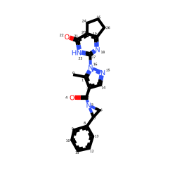 Cc1c(C(=O)N2CC2c2ccccc2)cnn1-c1nc2c(c(=O)[nH]1)CCC2